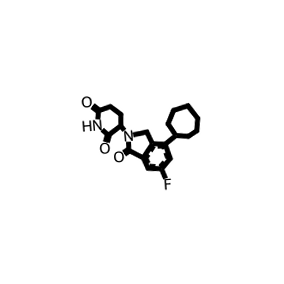 O=C1CCC(N2Cc3c(cc(F)cc3C3CCCCCC3)C2=O)C(=O)N1